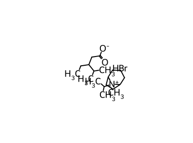 Br.CC(C)[N+]1(C)C2CCCC1CC2.CCC(CC(=O)[O-])C(C)C